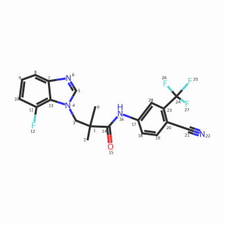 CC(C)(Cn1cnc2cccc(F)c21)C(=O)Nc1ccc(C#N)c(C(F)(F)F)c1